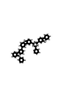 c1ccc(-c2nc(-c3ccc4c(c3)oc3ccccc34)nc(-c3ccc4sc5ccc(-c6ccc7c(c6)c6ccccc6n7-c6ccccc6)cc5c4c3)n2)cc1